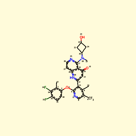 Cc1c(Oc2ncc(C(F)(F)F)c(C)c2-c2cc(=O)c3c(N(C)C4CC(O)C4)nccc3[nH]2)ccc(F)c1F